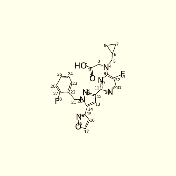 O=C(O)CN(CC1CC1)c1nc(-c2cc(-c3ccon3)n(Cc3ccccc3F)n2)ncc1F